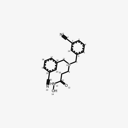 N#Cc1cccc(CN(CCC(=O)NO)Cc2cccc(C#N)c2)c1